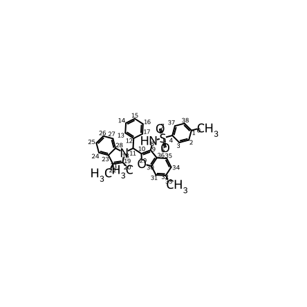 Cc1ccc(S(=O)(=O)Nc2c(C(c3ccccc3)n3c(C)c(C)c4ccccc43)oc3cc(C)ccc23)cc1